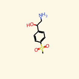 CS(=O)(=O)c1ccc(C(O)CN)cc1